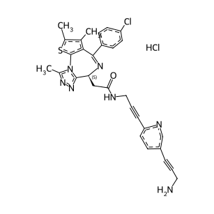 Cc1sc2c(c1C)C(c1ccc(Cl)cc1)=N[C@@H](CC(=O)NCC#Cc1ccc(C#CCN)cn1)c1nnc(C)n1-2.Cl